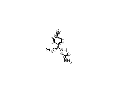 CC(NCC(N)=O)c1ccc(Br)cc1